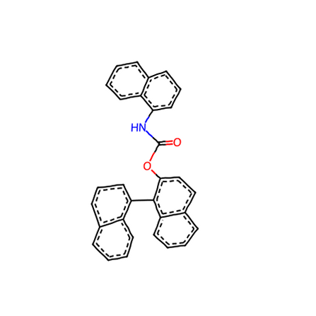 O=C(Nc1cccc2ccccc12)Oc1ccc2ccccc2c1-c1cccc2ccccc12